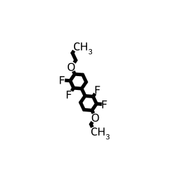 CCCOC1CCC(C2CCC(OCC)C(F)C2F)C(F)C1F